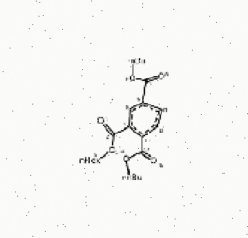 CCCCCCOC(=O)c1cc(C(=O)OCCCC)ccc1C(=O)OCCCC